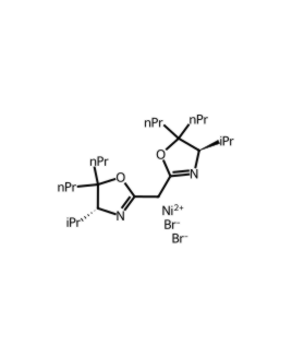 CCCC1(CCC)OC(CC2=N[C@H](C(C)C)C(CCC)(CCC)O2)=N[C@@H]1C(C)C.[Br-].[Br-].[Ni+2]